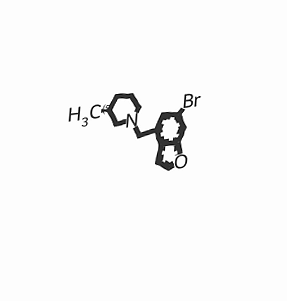 C[C@H]1CCCN(Cc2cc(Br)cc3occc23)C1